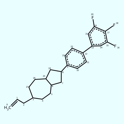 C=CCC1CCC2CC(c3ccc(-c4cc(F)c(F)c(F)c4)cc3)CC2CC1